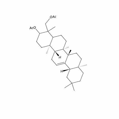 CC(=O)OCC1(C)C(OC(C)=O)CC[C@@]2(C)C1CC[C@]1(C)[C@@H]2CC=C2[C@H]3CC(C)(C)CC[C@]3(C)CC[C@]21C